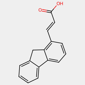 O=C(O)C=Cc1cccc2c1Cc1ccccc1-2